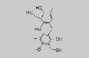 CC1=CC(Cc2cc(C)c(O)c(CO)c2O)=C(O)C(CO)C1O